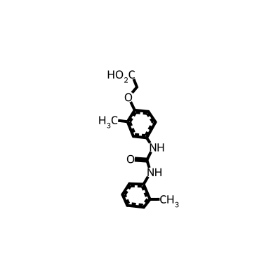 Cc1ccccc1NC(=O)Nc1ccc(OCC(=O)O)c(C)c1